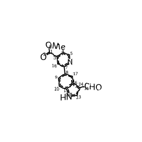 COC(=O)c1ccnc(-c2ccc3[nH]cc(C=O)c3c2)c1